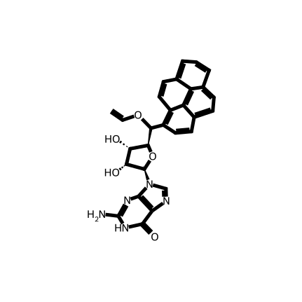 C=COC(c1ccc2ccc3cccc4ccc1c2c34)[C@H]1O[C@@H](n2cnc3c(=O)[nH]c(N)nc32)[C@H](O)[C@@H]1O